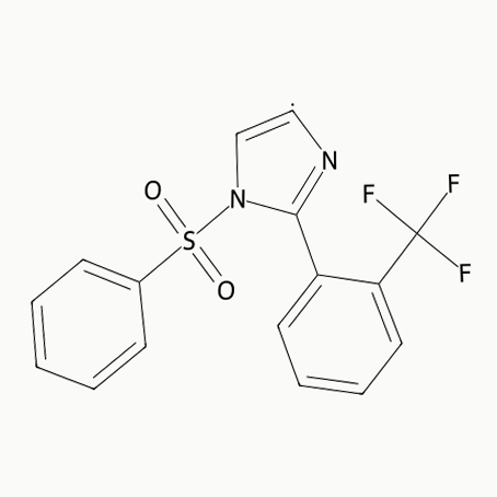 O=S(=O)(c1ccccc1)n1c[c]nc1-c1ccccc1C(F)(F)F